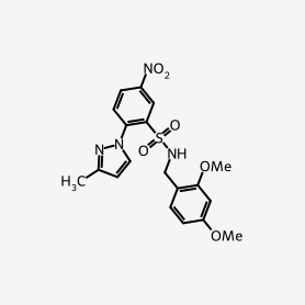 COc1ccc(CNS(=O)(=O)c2cc([N+](=O)[O-])ccc2-n2ccc(C)n2)c(OC)c1